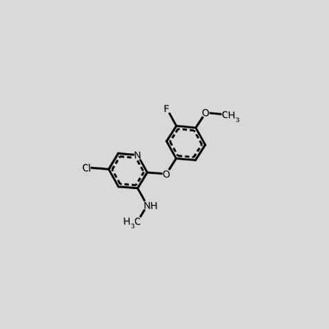 CNc1cc(Cl)cnc1Oc1ccc(OC)c(F)c1